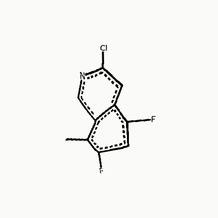 Cc1c(F)cc(F)c2cc(Cl)ncc12